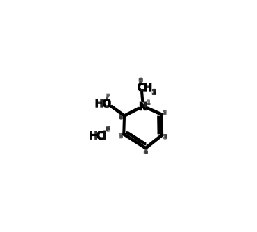 CN1C=CC=CC1O.Cl